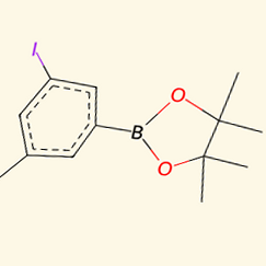 Cc1cc(I)cc(B2OC(C)(C)C(C)(C)O2)c1